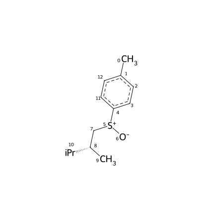 Cc1ccc([S+]([O-])C[C@H](C)C(C)C)cc1